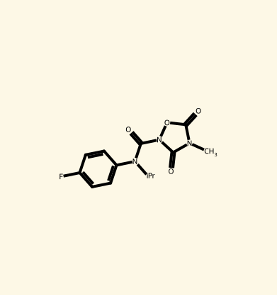 CC(C)N(C(=O)n1oc(=O)n(C)c1=O)c1ccc(F)cc1